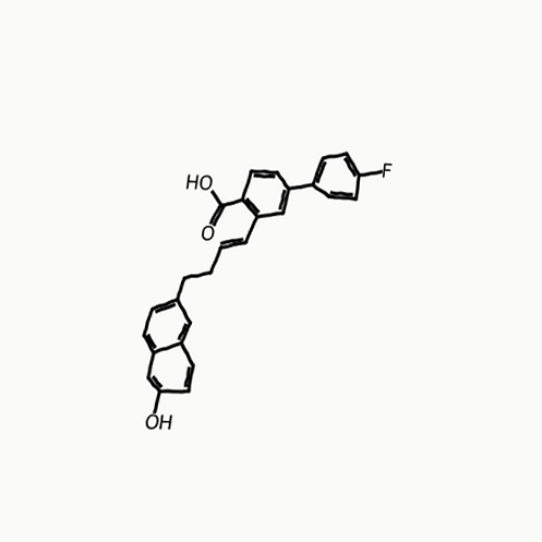 O=C(O)c1ccc(-c2ccc(F)cc2)cc1/C=C/CCc1ccc2cc(O)ccc2c1